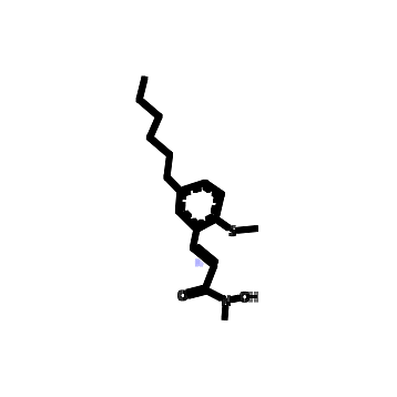 CCCCCCc1ccc(SC)c(/C=C/C(=O)N(C)O)c1